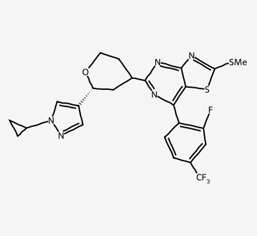 CSc1nc2nc(C3CCO[C@@H](c4cnn(C5CC5)c4)C3)nc(-c3ccc(C(F)(F)F)cc3F)c2s1